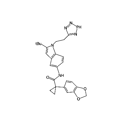 CC(C)(C)c1cc2cc(NC(=O)C3(c4ccc5c(c4)OCO5)CC3)ccc2n1CCc1nn[pH]n1